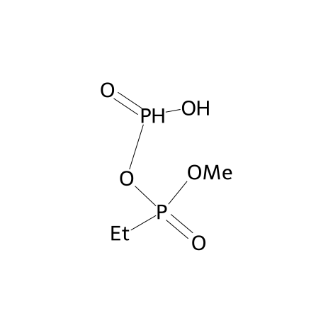 CCP(=O)(OC)O[PH](=O)O